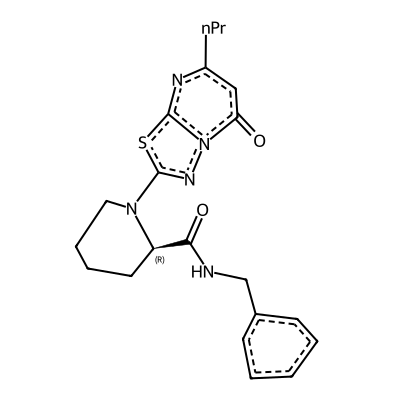 CCCc1cc(=O)n2nc(N3CCCC[C@@H]3C(=O)NCc3ccccc3)sc2n1